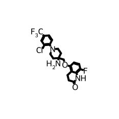 NC1(COc2ccc(F)c3c2CCC(=O)N3)CCN(c2ccc(C(F)(F)F)cc2Cl)CC1